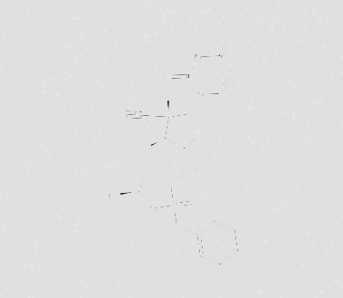 C#C[C@@]1(O)[C@H](O)[C@@H](COP(=O)(N[C@@H](CCC)C(=O)O)Oc2ccccc2)O[C@H]1n1ccc(=O)[nH]c1=O